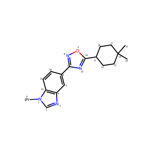 CC(C)n1cnc2cc(-c3noc(C4CCC(C)(C)CC4)n3)ccc21